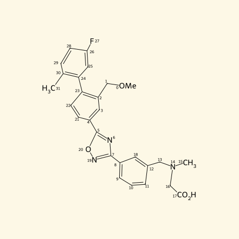 COCc1cc(-c2nc(-c3cccc(CN(C)CC(=O)O)c3)no2)ccc1-c1cc(F)ccc1C